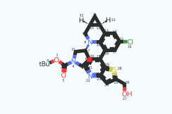 CC(C)(C)OC(=O)N1CC[C@H](N2C[C@H]3C[C@H]3c3cc(Cl)cc(-c4ccnc5cc(CO)sc45)c32)C1